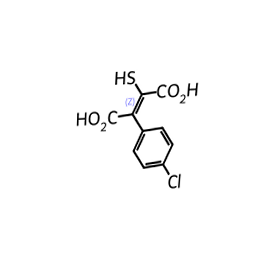 O=C(O)/C(S)=C(/C(=O)O)c1ccc(Cl)cc1